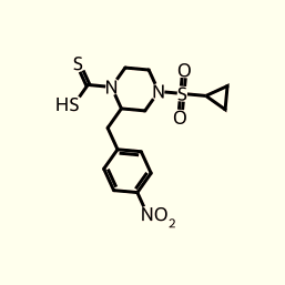 O=[N+]([O-])c1ccc(CC2CN(S(=O)(=O)C3CC3)CCN2C(=S)S)cc1